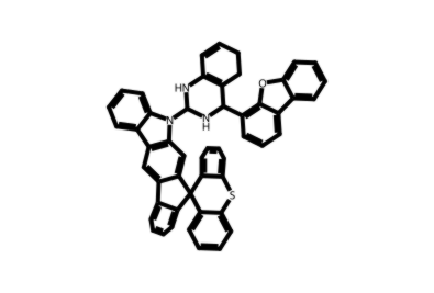 C1=CC2=C(CC1)C(c1cccc3c1oc1ccccc13)NC(n1c3ccccc3c3cc4c(cc31)C1(c3ccccc3Sc3ccccc31)c1ccccc1-4)N2